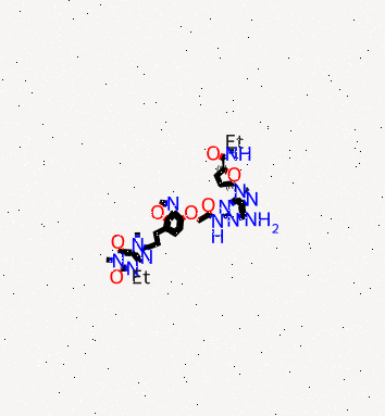 CCNC(=O)[C@@H]1CC[C@H](n2cnc3c(N)nc(NC(=O)COc4ccc(CCc5nc6c(c(=O)n(C)c(=O)n6CC)n5C)c5ocnc45)nc32)O1